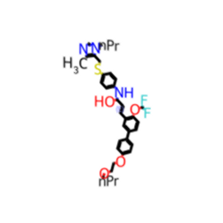 CCCOCCOc1ccc(-c2ccc(OC(F)F)c(/C=C/C(O)Nc3ccc(SCc4c(C)ncn4CCC)cc3)c2)cc1